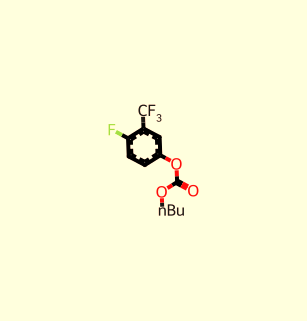 CCCCOC(=O)Oc1ccc(F)c(C(F)(F)F)c1